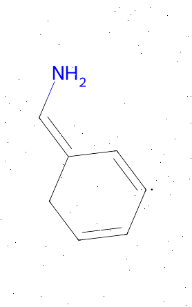 NC=C1C=[C]C=CC1